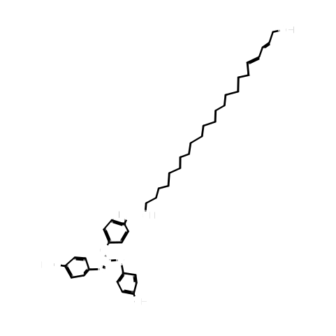 CCCCCCCCCCCCCCCCCCC/C=C/C=C/CO.Cc1ccc(OP(Oc2ccc(C)cc2)Oc2ccc(C)cc2)cc1